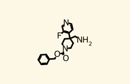 NCC1(c2ccncc2F)CCN(C(=O)OCc2ccccc2)CC1